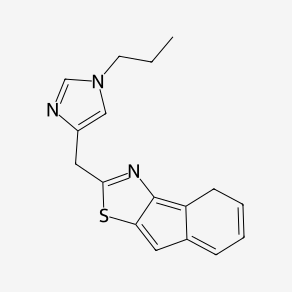 CCCn1cnc(Cc2nc3c(s2)=CC2=CC=CCC=32)c1